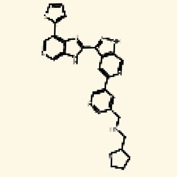 c1csc(-c2cncc3[nH]c(-c4n[nH]c5cnc(-c6cncc(CNCC7CCCC7)c6)cc45)nc23)c1